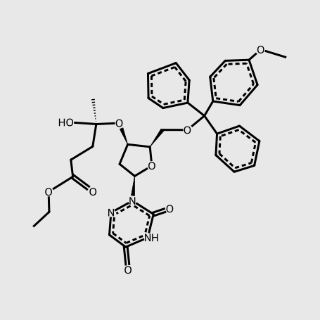 CCOC(=O)CC[C@@](C)(O)O[C@@H]1C[C@H](n2ncc(=O)[nH]c2=O)O[C@@H]1COC(c1ccccc1)(c1ccccc1)c1ccc(OC)cc1